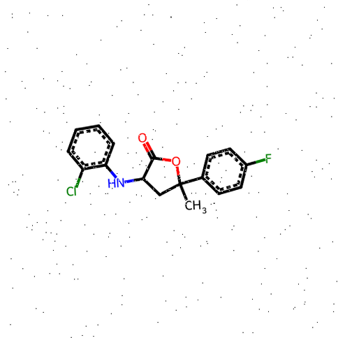 CC1(c2ccc(F)cc2)CC(Nc2ccccc2Cl)C(=O)O1